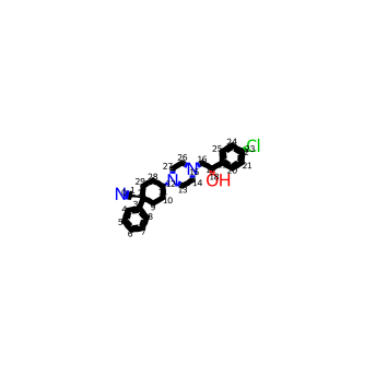 N#C[C@]1(c2ccccc2)CC[C@H](N2CCN(CC(O)c3ccc(Cl)cc3)CC2)CC1